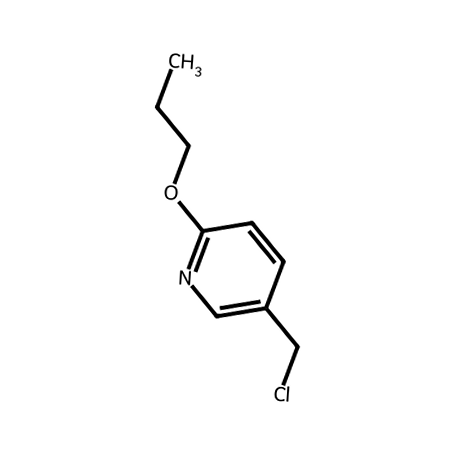 CCCOc1ccc(CCl)cn1